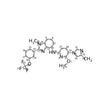 COc1nc(Nc2cccc3c2nc(-c2cccc(OC(F)(F)F)c2)n3C)ccc1-n1cnc(C)c1